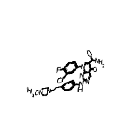 CN1CCN(CCc2ccc(Nc3ncc4c(=O)c(C(N)=O)cn(-c5ccc(F)c(Cl)c5)c4n3)cc2)CC1